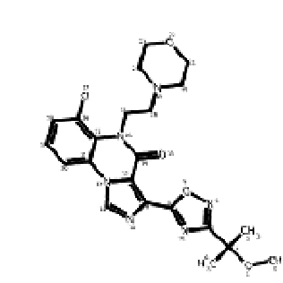 COC(C)(C)c1noc(-c2ncn3c2c(=O)n(CCN2CCOCC2)c2c(Cl)cccc23)n1